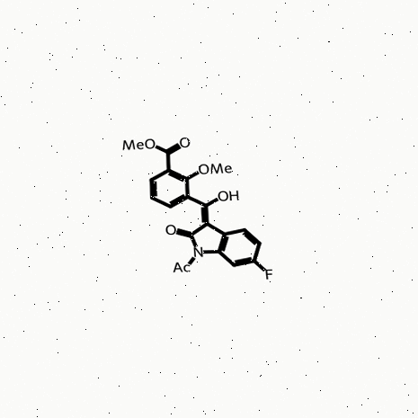 COC(=O)c1cccc(C(O)=C2C(=O)N(C(C)=O)c3cc(F)ccc32)c1OC